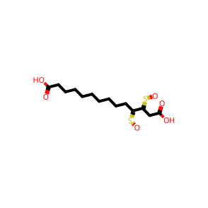 O=S=C(CCCCCCCCCC(=O)O)C(CC(=O)O)=S=O